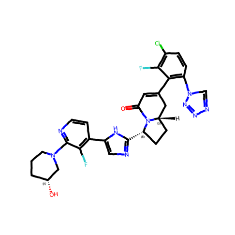 O=C1C=C(c2c(-n3cnnn3)ccc(Cl)c2F)C[C@@H]2CC[C@H](c3ncc(-c4ccnc(N5CCC[C@@H](O)C5)c4F)[nH]3)N12